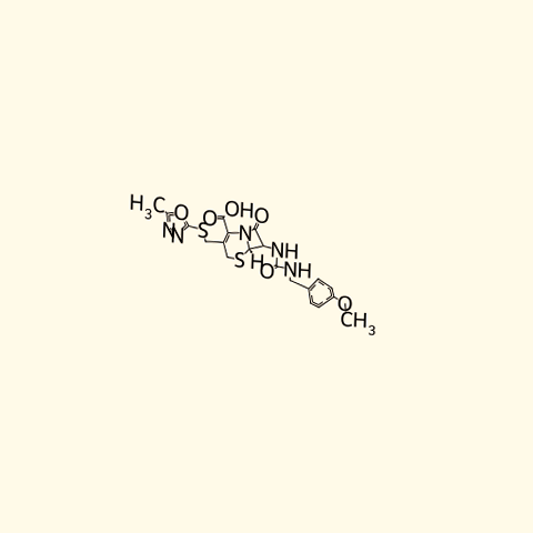 COc1ccc(CNC(=O)NC2C(=O)N3C(C(=O)O)=C(CSc4nnc(C)o4)CS[C@@H]23)cc1